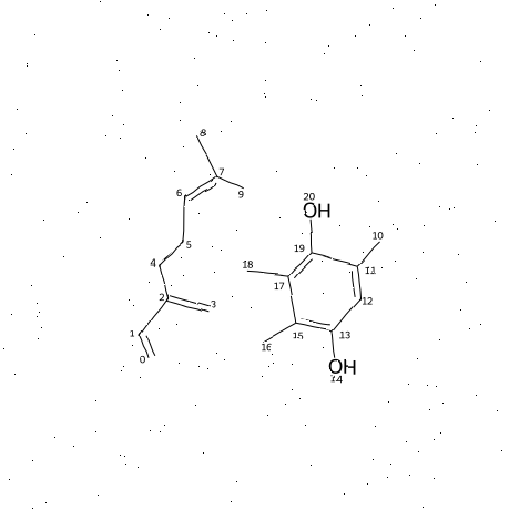 C=CC(=C)CCC=C(C)C.Cc1cc(O)c(C)c(C)c1O